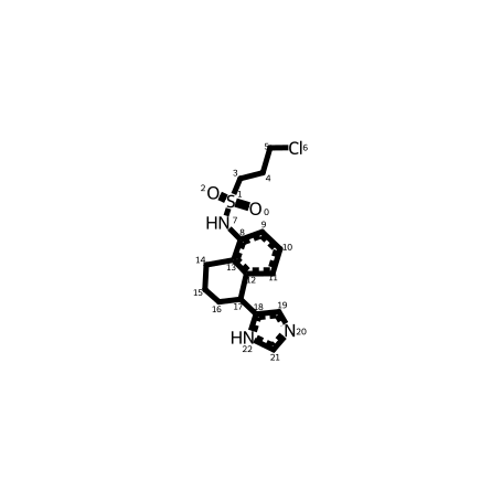 O=S(=O)(CCCCl)Nc1cccc2c1CCCC2c1cnc[nH]1